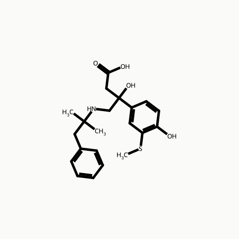 CSc1cc(C(O)(CNC(C)(C)Cc2ccccc2)CC(=O)O)ccc1O